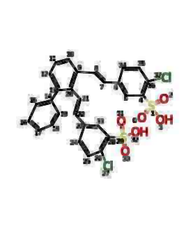 O=S(=O)(O)c1cc(C=Cc2cccc(-c3ccccc3)c2C=Cc2ccc(Cl)c(S(=O)(=O)O)c2)ccc1Cl